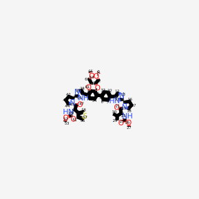 COCCOc1c(-c2ccc(-c3cnc([C@@H]4CCCN4C(=O)[C@@H](NC(=O)OC)C(C)C)[nH]3)cc2)ccc(-c2cnc([C@@H]3CCCN3C(=O)[C@H](NC(=O)OC)c3ccsc3)[nH]2)c1OCCOC